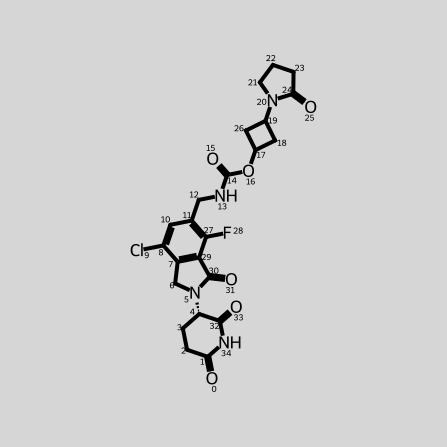 O=C1CC[C@H](N2Cc3c(Cl)cc(CNC(=O)OC4CC(N5CCCC5=O)C4)c(F)c3C2=O)C(=O)N1